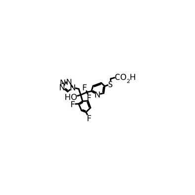 O=C(O)CSc1ccc(C(F)(F)C(O)(Cn2cnnn2)c2ccc(F)cc2F)nc1